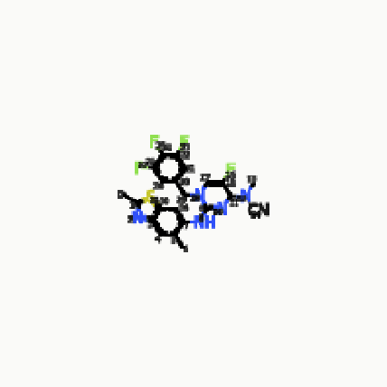 Cc1nc2cc(C)c(NC3=NC(N(C)C#N)C(F)=CN3Cc3cc(F)c(F)c(F)c3)cc2s1